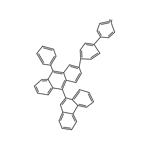 c1ccc(-c2c3ccccc3c(-c3cc4ccccc4c4ccccc34)c3ccc(-c4ccc(-c5ccncc5)cc4)cc23)cc1